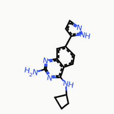 Nc1nc(NC2CCC2)c2ccc(-c3ccn[nH]3)cc2n1